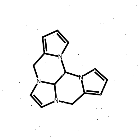 C1=CN2Cc3cccn3C3C2N1Cc1cccn13